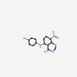 O=[N+]([O-])c1ccc(Nc2ccc(Cl)cc2)c2c(O)ncnc12